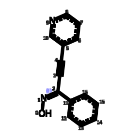 O/N=C(/C#Cc1cccnc1)c1ccccc1